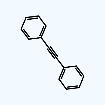 C(#Cc1ccccc1)c1c[c]ccc1